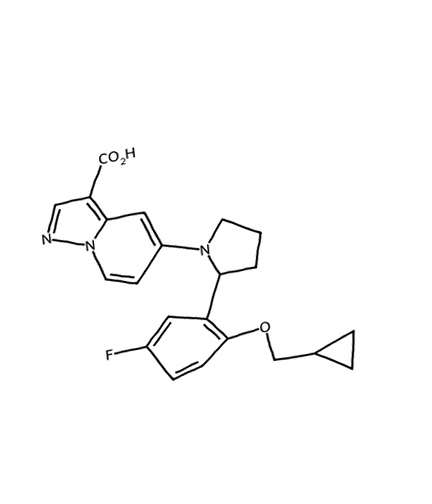 O=C(O)c1cnn2ccc(N3CCCC3c3cc(F)ccc3OCC3CC3)cc12